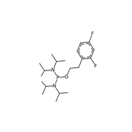 CC(C)N(C(C)C)P(OCCc1ccc(F)cc1F)N(C(C)C)C(C)C